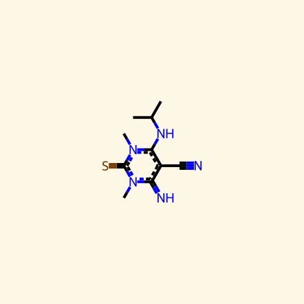 CC(C)Nc1c(C#N)c(=N)n(C)c(=S)n1C